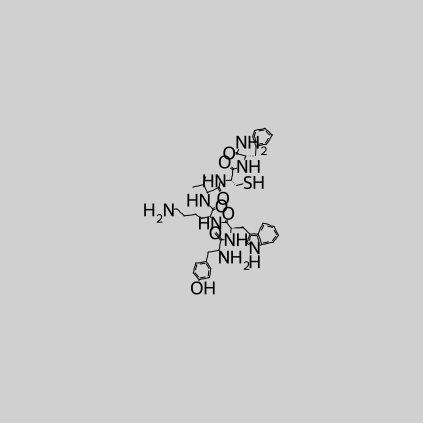 CC(C)[C@H](NC(=O)[C@H](CCCCN)NC(=O)[C@@H](Cc1c[nH]c2ccccc12)NC(=O)[C@@H](N)Cc1ccc(O)cc1)C(=O)N[C@@H](CS)C(=O)N[C@@H](Cc1ccccc1)C(N)=O